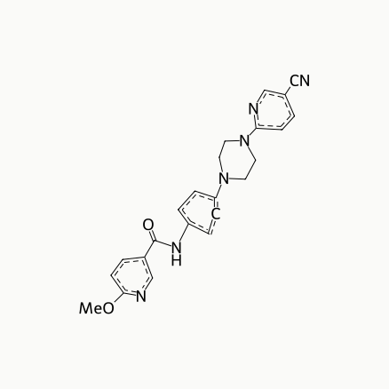 COc1ccc(C(=O)Nc2ccc(N3CCN(c4ccc(C#N)cn4)CC3)cc2)cn1